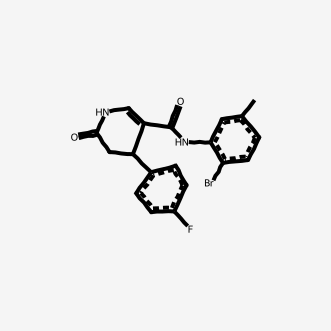 Cc1ccc(Br)c(NC(=O)C2=CNC(=O)CC2c2ccc(F)cc2)c1